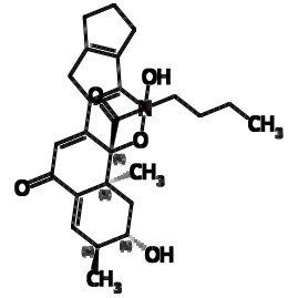 CCCCN1O[C@@]2(C(=O)CO)C(=CC(=O)C3=C[C@H](C)[C@@H](O)C[C@@]32C)C2=C1C1=C(CCC1)C2